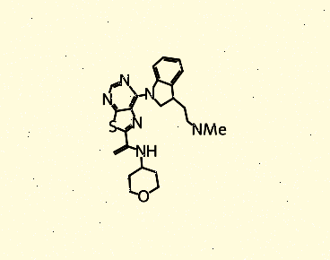 C=C(NC1CCOCC1)c1nc2c(N3CC(CCNC)c4ccccc43)ncnc2s1